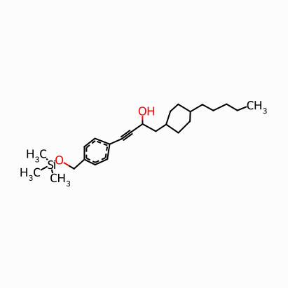 CCCCCC1CCC(CC(O)C#Cc2ccc(CO[Si](C)(C)C)cc2)CC1